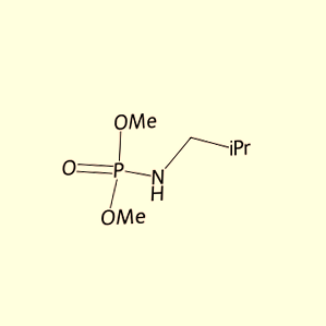 COP(=O)(NCC(C)C)OC